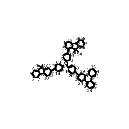 CC1(C)c2ccccc2-c2ccc(-c3ccc(N(c4ccc(-c5ccc(-c6ccccc6-c6ccccc6)cc5)cc4)c4ccc(-c5cccc6c5C(C)(C)c5ccccc5-6)cc4)cc3)cc21